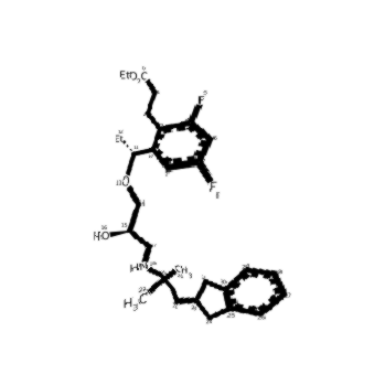 CCOC(=O)CCc1c(F)cc(F)cc1[C@@H](CC)OC[C@H](O)CNC(C)(C)CC1Cc2ccccc2C1